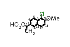 C=C(C(=O)O)c1ccc2c(Cl)c(OC)ccc2c1